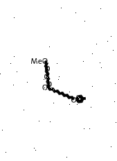 COCCOCCOCCOC(=O)CCCCCCCCCCOc1ccc(C)cc1